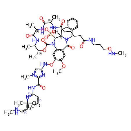 C/C=C\C(=N/C(C)(C)/C=C\NC)NC(=O)c1nc(NOc2cc3c(cc2OC)C(=O)N2Cc4ccccc4C[C@H]2C(S(=O)(=O)O)N3C(=O)O[C@H](C)C(C)NC(=O)[C@@H](C)NC(=O)[C@@H](C)NC(=O)CCCCC(=O)NCCCONC)cn1C